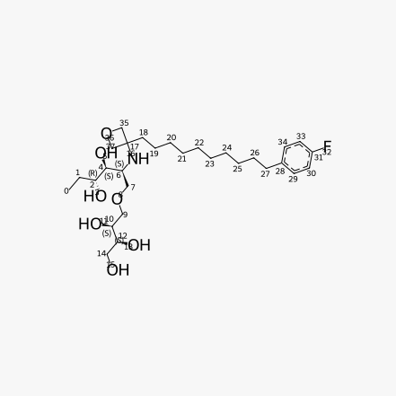 CC[C@@H](O)[C@@H](O)[C@H](COC[C@H](O)[C@@H](O)CO)NC1(CCCCCCCCCCc2ccc(F)cc2)COC1